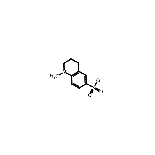 CN1CCCc2cc(S(=O)(=O)Cl)ccc21